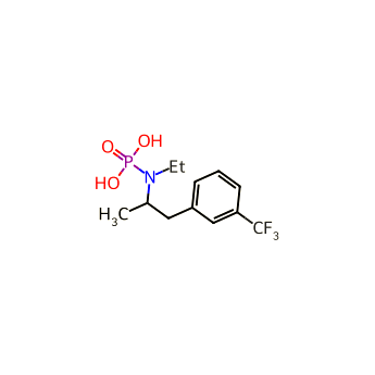 CCN(C(C)Cc1cccc(C(F)(F)F)c1)P(=O)(O)O